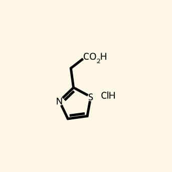 Cl.O=C(O)Cc1nccs1